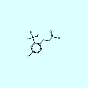 O=C(O)CCc1ccc(Cl)cc1C(F)(F)F